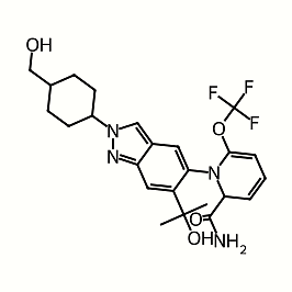 CC(C)(O)c1cc2nn(C3CCC(CO)CC3)cc2cc1N1C(OC(F)(F)F)=CC=CC1C(N)=O